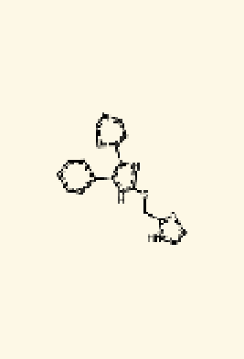 c1ccc(-c2nc(SCc3ncc[nH]3)[nH]c2-c2ccccc2)cc1